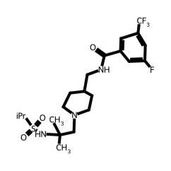 CC(C)S(=O)(=O)NC(C)(C)CN1CCC(CNC(=O)c2cc(F)cc(C(F)(F)F)c2)CC1